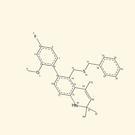 COc1cc(F)ccc1-c1ccc2c(c1CSCc1ccccc1)C(C)=CC(C)(C)N2